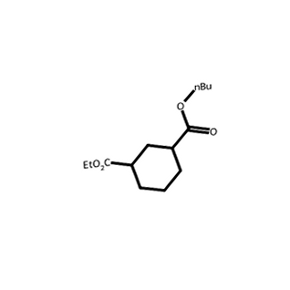 CCCCOC(=O)C1CCCC(C(=O)OCC)C1